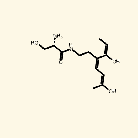 C\C=C(O)/C(=C\C=C(/C)O)CCNC(=O)[C@@H](N)CO